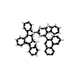 c1ccc2c(c1)cc(-c1nc(-n3c4ccccc4c4c5ccccc5c5c6ccccc6sc5c43)nc3oc4ccccc4c13)c1ccccc12